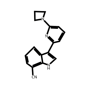 N#Cc1cccc2c(-c3cccc(N4CCC4)n3)c[nH]c12